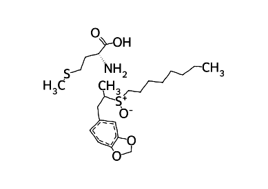 CCCCCCCC[S+]([O-])C(C)Cc1ccc2c(c1)OCO2.CSCC[C@@H](N)C(=O)O